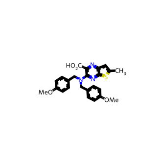 COc1ccc(CN(Cc2ccc(OC)cc2)c2nc3sc(C)cc3nc2C(=O)O)cc1